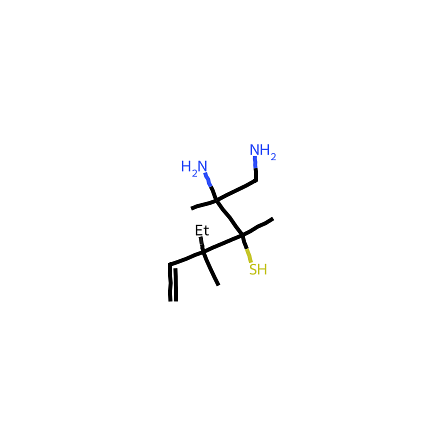 C=CC(C)(CC)C(C)(S)C(C)(N)CN